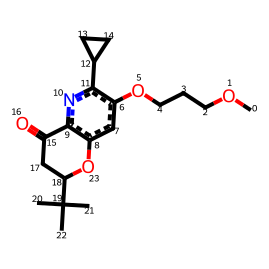 COCCCOc1cc2c(nc1C1CC1)C(=O)CC(C(C)(C)C)O2